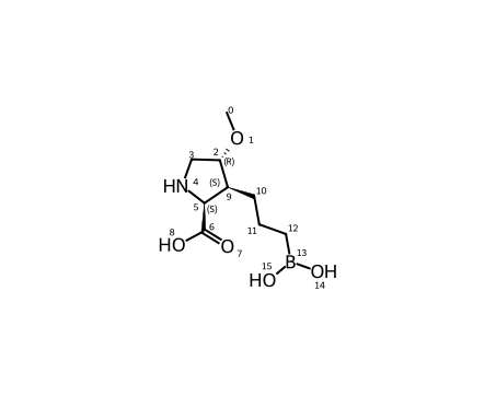 CO[C@H]1CN[C@H](C(=O)O)[C@@H]1CCCB(O)O